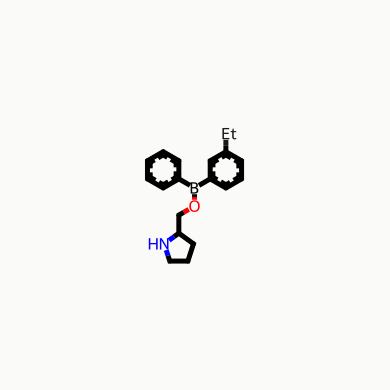 CCc1cccc(B(OCC2CCCN2)c2ccccc2)c1